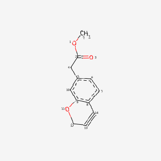 COC(=O)Cc1ccc2c(c1)O[CH]C#C2